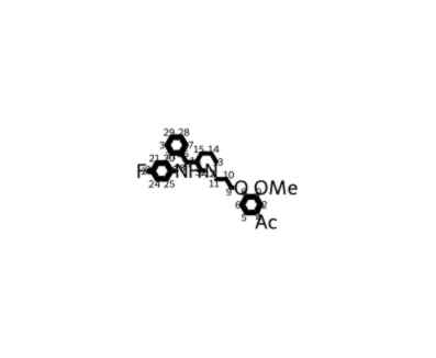 COc1cc(C(C)=O)ccc1OCCCN1CCCC(C(Nc2ccc(F)cc2)c2ccccc2)C1